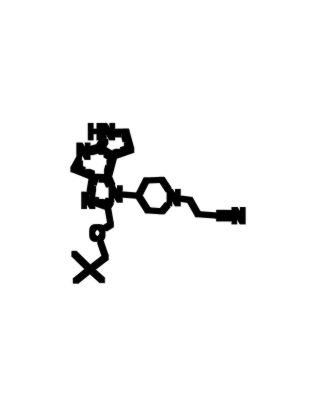 CC(C)(C)COCc1nc2cnc3[nH]ccc3c2n1C1CCN(CCC#N)CC1